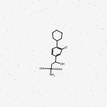 CCCCCCC(N)(CCCCCC)CC(O)c1ccc(C2CCCCC2)c(Cl)c1